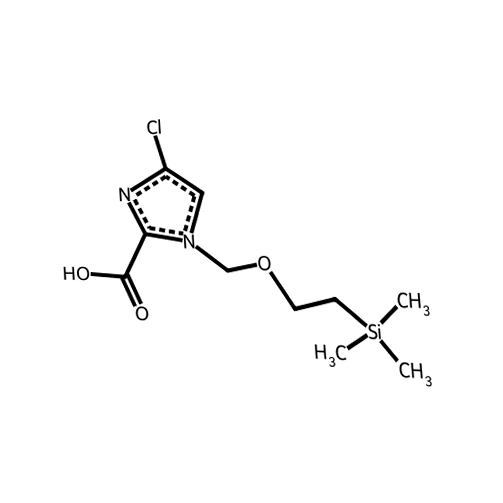 C[Si](C)(C)CCOCn1cc(Cl)nc1C(=O)O